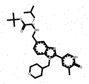 Cc1cc(-c2nc3cc(CN[C@@H](CC(C)C)C(=O)OC(C)(C)C)ccc3n2CC2CCOCC2)c[nH]c1=O